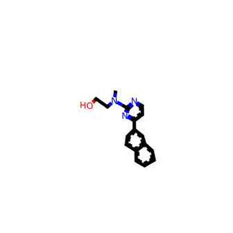 CN(CCO)c1nccc(-c2ccc3ccccc3c2)n1